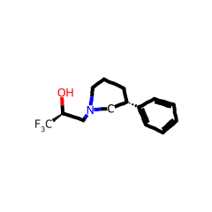 O[C@@H](CN1CCC[C@H](c2ccccc2)C1)C(F)(F)F